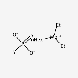 CCCCC[CH2][Mo+3]([CH2]C)[CH2]C.[O-]P([O-])(=S)[S-]